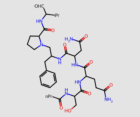 CCCC(=O)NC(CO)C(=O)NC(CCC(N)=O)C(=O)NC(CC(N)=O)C(=O)NC(Cc1ccccc1)CN1CCCC1C(=O)NC([C]=O)C(C)C